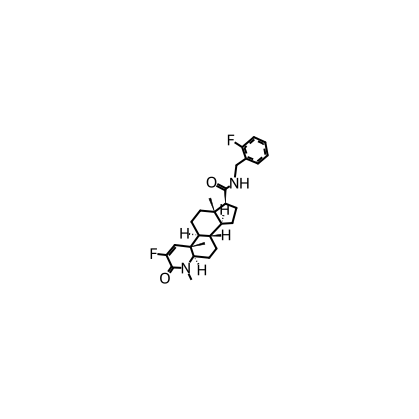 CN1C(=O)C(F)=C[C@]2(C)[C@H]3CC[C@]4(C)[C@@H](C(=O)NCc5ccccc5F)CC[C@H]4[C@@H]3CC[C@@H]12